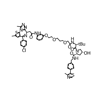 Cc1cc2c(s1)-n1c(C)nnc1C(CC(=O)Nc1cccc(OCCOCCCOCC(=O)N[C@H](C(=O)N3C[C@H](O)C[C@H]3C(=O)NCc3ccc(-c4scnc4C)cc3)C(C)(C)C)c1)N=C2c1ccc(Cl)cc1